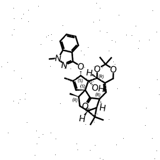 CC1=C[C@]23C(=O)[C@@H](C=C4COC(C)(C)O[C@H]4[C@]2(O)[C@H]1Oc1nn(C)c2ccccc12)C1[C@@H](C[C@H]3C)C1(C)C